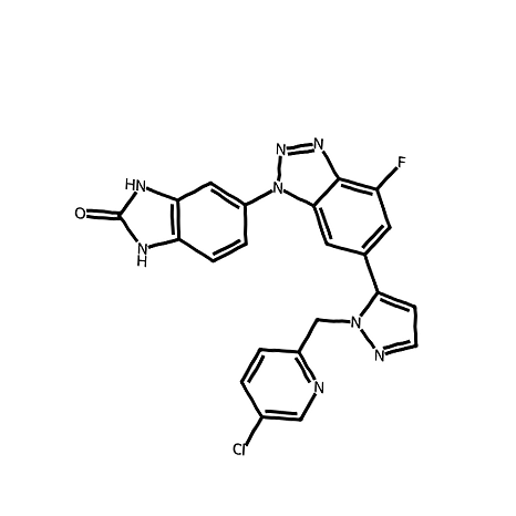 O=c1[nH]c2ccc(-n3nnc4c(F)cc(-c5ccnn5Cc5ccc(Cl)cn5)cc43)cc2[nH]1